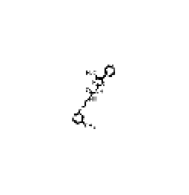 Cc1cccc(OCCNC(=O)Nc2nc(C)c(-c3ccncc3)s2)c1